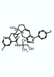 CC(C)(CO)NC(=O)c1cc(F)cnc1CC[C@]1(O)CCC2=Cc3c(cnn3-c3ccc(F)cc3)C[C@@]21C1CC1